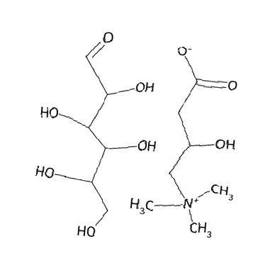 C[N+](C)(C)CC(O)CC(=O)[O-].O=CC(O)C(O)C(O)C(O)CO